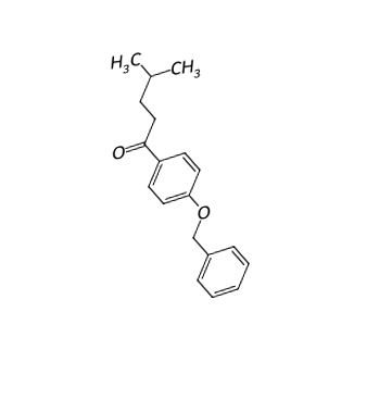 CC(C)CCC(=O)c1ccc(OCc2ccccc2)cc1